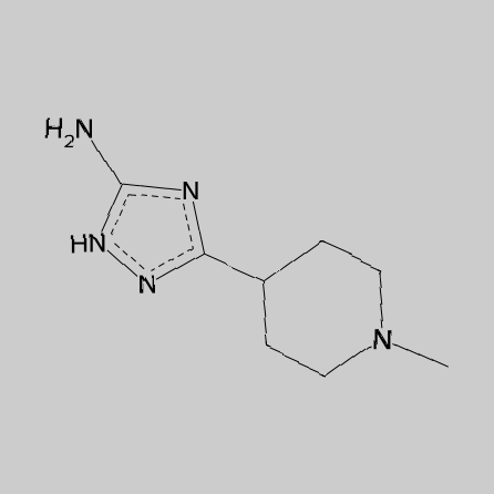 CN1CCC(c2n[nH]c(N)n2)CC1